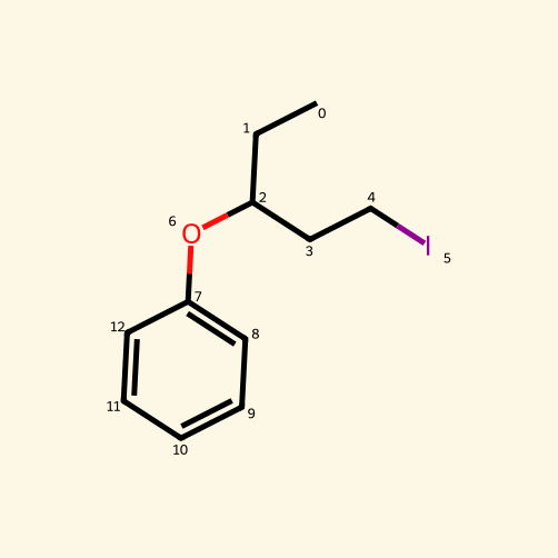 CCC(CCI)Oc1ccccc1